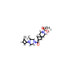 CC1CN(C(=O)C2CC3(CCN(S(C)(=O)=O)CC3)C2)CCN1C1CCC1